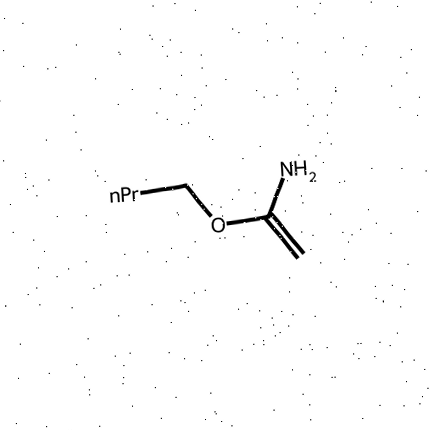 C=C(N)OCCCC